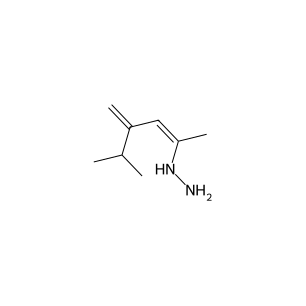 C=C(/C=C(/C)NN)C(C)C